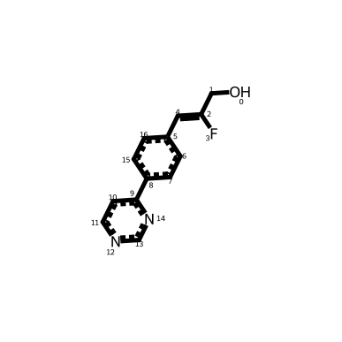 OCC(F)=Cc1ccc(-c2ccncn2)cc1